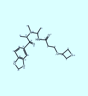 CC(NC(=O)CCOC1CSC1)N(C)C(C)C(=O)c1ccc2c(c1)OCO2